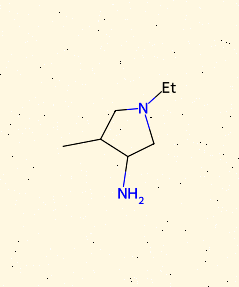 CCN1CC(C)C(N)C1